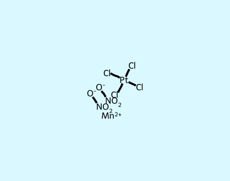 O=[N+]([O-])[O-].O=[N+]([O-])[O-].[Cl][Pt]([Cl])([Cl])[Cl].[Mn+2]